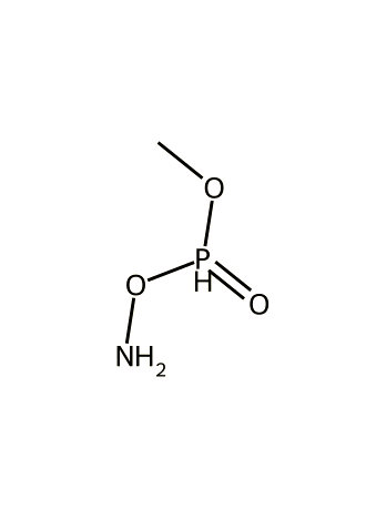 CO[PH](=O)ON